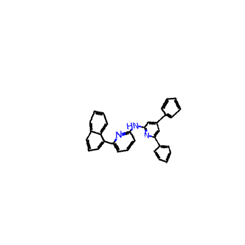 c1ccc(-c2cc(Nc3cccc(-c4cccc5ccccc45)n3)nc(-c3ccccc3)c2)cc1